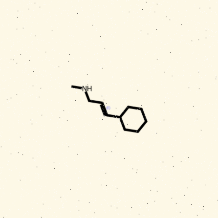 CNC/C=C/C1CCCCC1